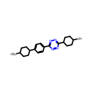 CCCCC1CCC(c2ccc(-c3nnc(C4CCC(CCC)CC4)nn3)cc2)CC1